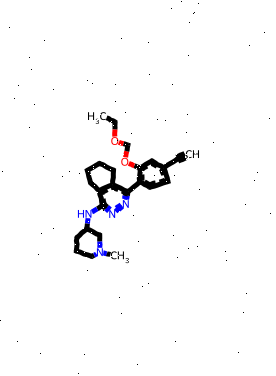 C#Cc1ccc(-c2nnc(NC3CCCN(C)C3)c3c2CCCC3)c(OCOCC)c1